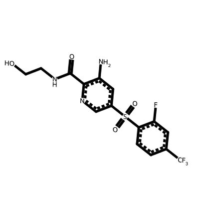 Nc1cc(S(=O)(=O)c2ccc(C(F)(F)F)cc2F)cnc1C(=O)NCCO